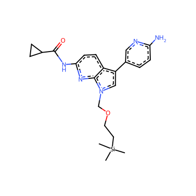 C[Si](C)(C)CCOCn1cc(-c2ccc(N)nc2)c2ccc(NC(=O)C3CC3)nc21